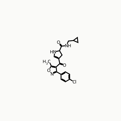 Cc1onc(-c2ccc(Cl)cc2)c1C(=O)C1=CNC(C(=O)NCC2CC2)C1